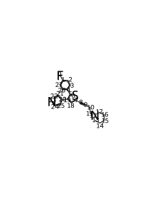 Fc1ccc(-c2sc(C#CCCN3CCCCC3)cc2-c2ccncc2)cc1